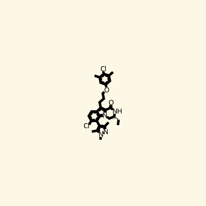 CC[C@@H]1Cn2c(c(CCCOc3cc(C)c(Cl)c(C)c3)c3ccc(Cl)c(-c4c(C)nn(C)c4C)c32)C(=O)N1